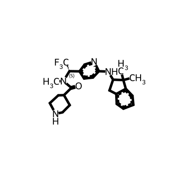 CN(C(=O)C1CCNCC1)[C@@H](c1ccc(NC2Cc3ccccc3C2(C)C)nc1)C(F)(F)F